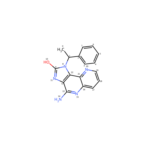 CC(c1ccccc1)n1c(O)nc2c(N)nc3cccnc3c21